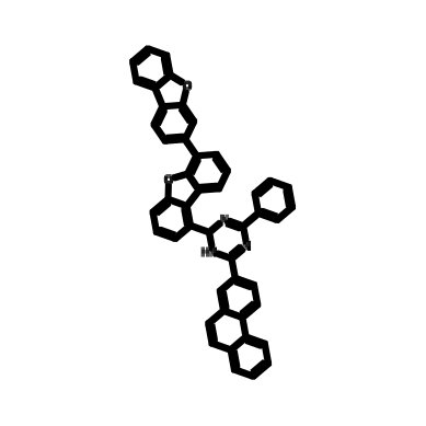 c1ccc(C2=NC(c3cccc4oc5c(-c6ccc7c(c6)oc6ccccc67)cccc5c34)NC(c3ccc4c(ccc5ccccc54)c3)=N2)cc1